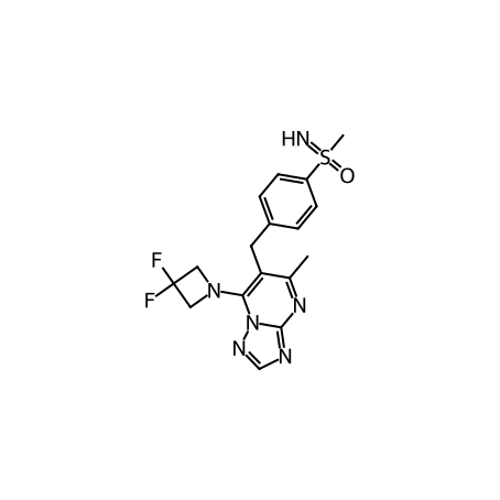 Cc1nc2ncnn2c(N2CC(F)(F)C2)c1Cc1ccc(S(C)(=N)=O)cc1